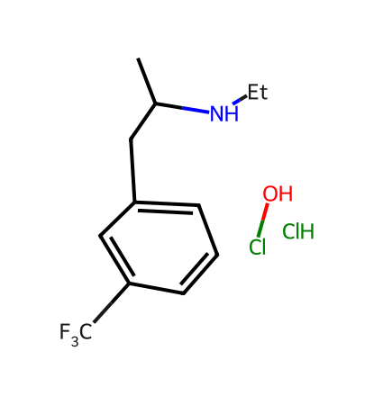 CCNC(C)Cc1cccc(C(F)(F)F)c1.Cl.OCl